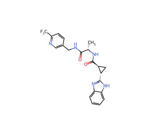 C[C@H](NC(=O)[C@H]1C[C@@H]1c1nc2ccccc2[nH]1)C(=O)NCc1ccc(C(F)(F)F)nc1